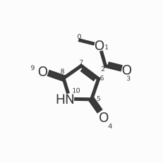 COC=O.O=C1C=CC(=O)N1